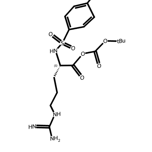 Cc1ccc(S(=O)(=O)N[C@@H](CCCNC(=N)N)C(=O)OC(=O)OC(C)(C)C)cc1